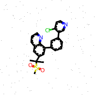 CC(C)(c1cc(-c2cccc(-c3cnccc3Cl)c2)c2ncccc2c1)S(C)(=O)=O